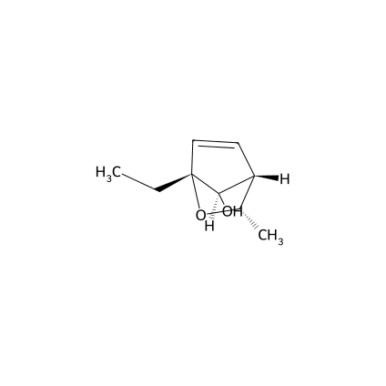 CC[C@]12C=C[C@H]([C@H](C)O1)[C@H]2O